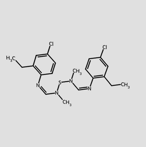 CCc1cc(Cl)ccc1/N=C\N(C)SN(C)/C=N\c1ccc(Cl)cc1CC